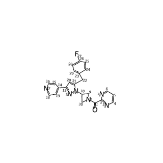 O=C(c1ncccn1)N1CC(n2nc(-c3ccncc3)cc2Cc2ccc(F)cc2)C1